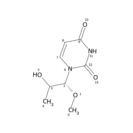 CO[C@H](C(C)O)n1ccc(=O)[nH]c1=O